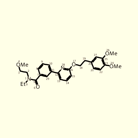 CCN(CCOC)C(=O)c1cccc(-c2cccc(OCCc3ccc(OC)c(OC)c3)n2)c1